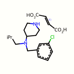 CC(C)CN(Cc1cccc(Cl)c1)C1CCNCC1.O=C(O)/C=C/C(=O)O